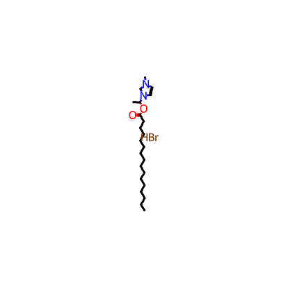 Br.CCCCCCCCCCCCCCCC(=O)OC(C)N1C=CN(C)C1